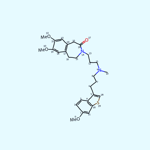 COc1ccc2c(CCCN(C)CCCN3CCc4cc(OC)c(OC)cc4CC3=O)csc2c1